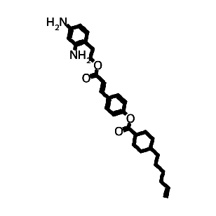 C=CCCCCC1CCC(C(=O)Oc2ccc(/C=C/C(=O)OCCc3ccc(N)cc3N)cc2)CC1